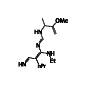 C=C(OC)C(C)N/C=N/C(NCC)=C(\C=N)CCC